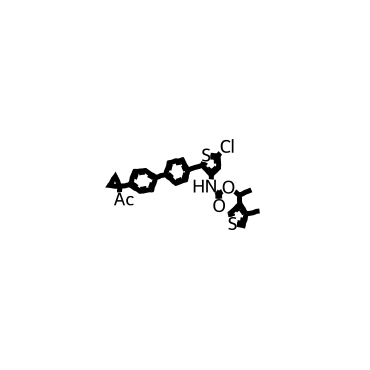 CC(=O)C1(c2ccc(-c3ccc(-c4sc(Cl)cc4NC(=O)OC(C)c4cscc4C)cc3)cc2)CC1